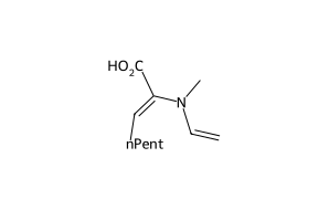 C=CN(C)C(=CCCCCC)C(=O)O